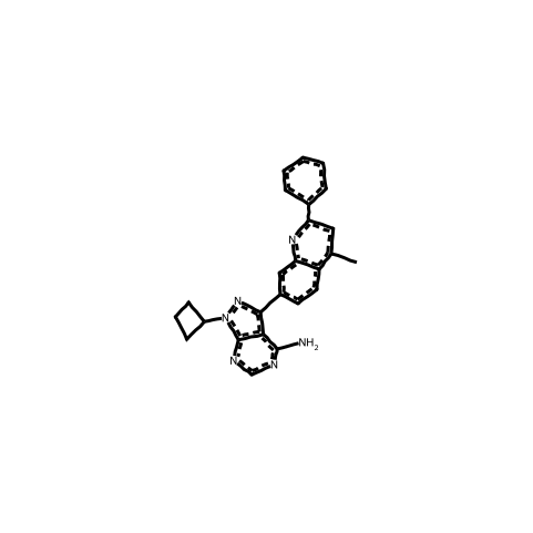 Cc1cc(-c2ccccc2)nc2cc(-c3nn(C4CCC4)c4ncnc(N)c34)ccc12